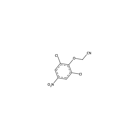 N#CCOc1c(Cl)cc([N+](=O)[O-])cc1Cl